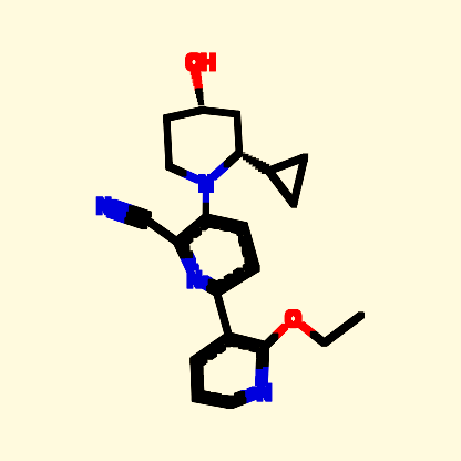 CCOc1ncccc1-c1ccc(N2CC[C@H](O)C[C@@H]2C2CC2)c(C#N)n1